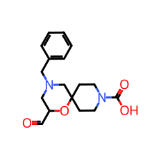 O=CC1CN(Cc2ccccc2)CC2(CCN(C(=O)O)CC2)O1